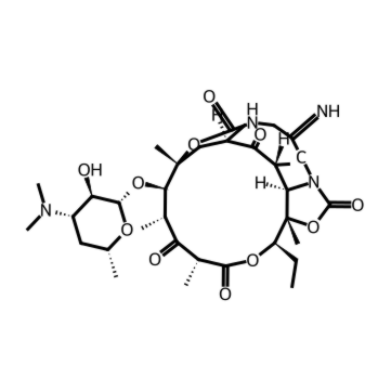 CC[C@H]1OC(=O)[C@H](C)C(=O)[C@H](C)[C@@H](O[C@@H]2O[C@H](C)C[C@H](N(C)C)[C@H]2O)[C@@]2(C)C[C@@H](C)C(=O)[C@H](C)[C@H]3N(CC(=N)CNC(=O)O2)C(=O)O[C@]13C